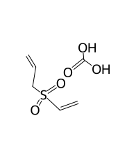 C=CCS(=O)(=O)C=C.O=C(O)O